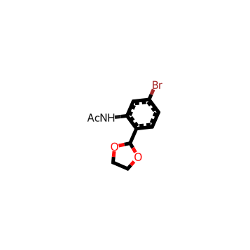 CC(=O)Nc1cc(Br)ccc1C1OCCO1